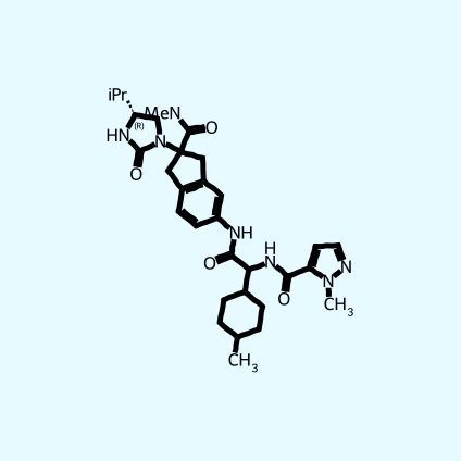 CNC(=O)C1(N2C[C@@H](C(C)C)NC2=O)Cc2ccc(NC(=O)C(NC(=O)c3ccnn3C)C3CCC(C)CC3)cc2C1